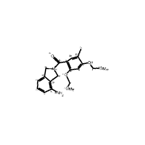 COCOc1cc(OCOC)c(C(=O)N2Cc3cccc(N)c3C2)cc1C